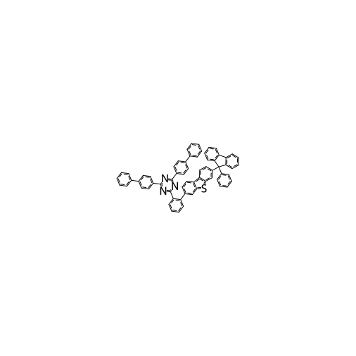 c1ccc(-c2ccc(-c3nc(-c4ccc(-c5ccccc5)cc4)nc(-c4ccccc4-c4ccc5c(c4)sc4cc(C6(c7ccccc7)c7ccccc7-c7ccccc76)ccc45)n3)cc2)cc1